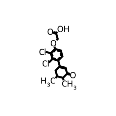 CC1CC(c2ccc(OCC(=O)O)c(Cl)c2Cl)=CC(=O)C1C